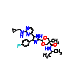 CC(C)NC(=O)C1(C)COC(c2nc(-c3ccc(F)cc3)c(-c3ccnc(NCC4CC4)n3)[nH]2)OC1